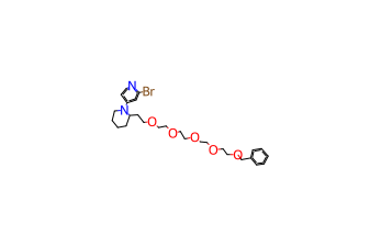 Brc1cc(N2CCCCC2CCOCCOCCOCCOCCOCc2ccccc2)ccn1